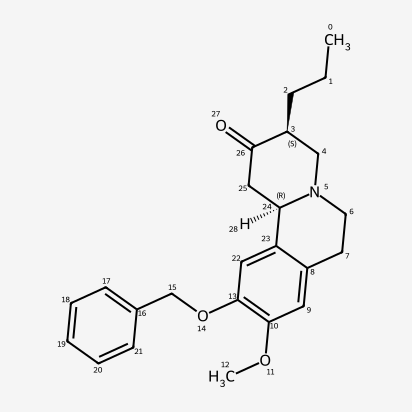 CCC[C@H]1CN2CCc3cc(OC)c(OCc4ccccc4)cc3[C@H]2CC1=O